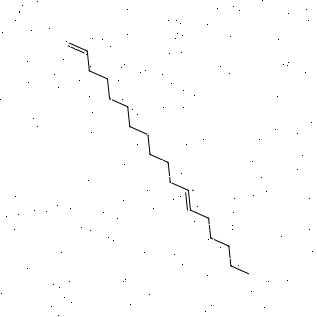 C=CCCCCCCCCC/[C]=C/CCCCC